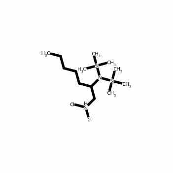 CCCCCC(C[SiH](Cl)Cl)N([Si](C)(C)C)[Si](C)(C)C